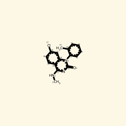 CNc1nc(=O)n(-c2ccccc2C)c2cc(Cl)ccc12